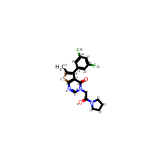 Cc1sc2ncn(CC(=O)N3CCCC3)c(=O)c2c1-c1cc(F)cc(F)c1